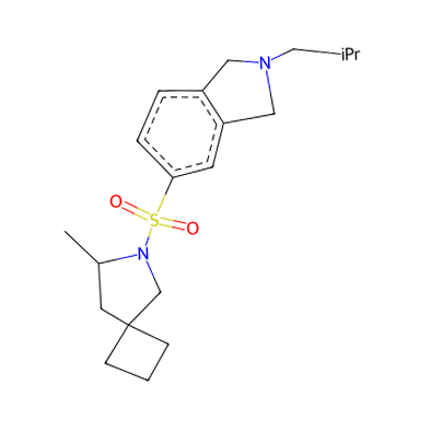 CC(C)CN1Cc2ccc(S(=O)(=O)N3CC4(CCC4)CC3C)cc2C1